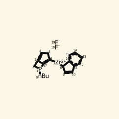 CCCCP1CC2=CC[C]([Zr+2][CH]3C=Cc4ccccc43)=C21.[F-].[F-]